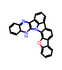 C1=CC2=Nc3c(n4c5c3cccc5c3ccc5c6ccccc6oc5c34)NC2C=C1